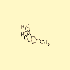 CCc1ccc(C=O)c(N(O)CC)c1